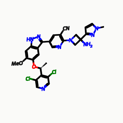 COc1cc2[nH]nc(-c3cnc(N4CC(N)(c5ccn(C)n5)C4)c(C#N)c3)c2cc1O[C@H](C)c1c(Cl)cncc1Cl